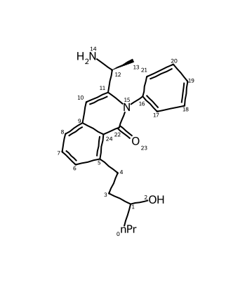 CCCC(O)CCc1cccc2cc([C@H](C)N)n(-c3ccccc3)c(=O)c12